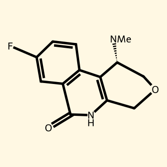 CN[C@@H]1COCc2[nH]c(=O)c3cc(F)ccc3c21